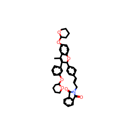 CC1=C(c2cccc(OC3CCCCO3)c2)C(c2ccc(C=CCN3C(=O)c4ccccc4C3=O)cc2)Oc2ccc(OC3CCCCO3)cc21